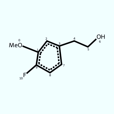 COc1cc(CCO)ccc1F